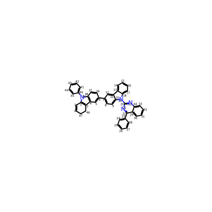 C1=Cc2c(c3cc(-c4ccc5c(c4)c4ccccc4n5-c4nc(-c5ccccc5)c5ccccc5n4)ccc3n2-c2ccccc2)CC1